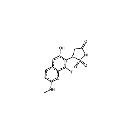 CNc1ncc2cc(O)c(N3CC(=O)NS3(=O)=O)c(F)c2n1